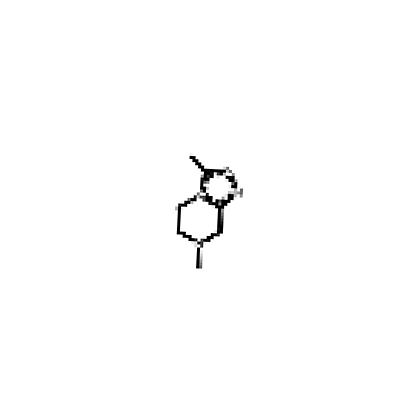 CN1CCn2c(I)nnc2C1